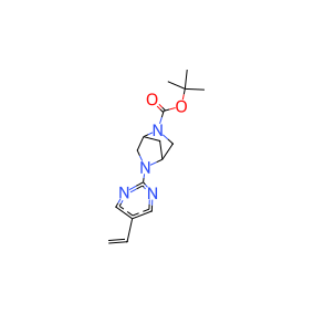 C=Cc1cnc(N2CC3CC2CN3C(=O)OC(C)(C)C)nc1